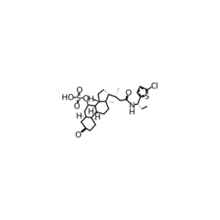 CC[C@H](NC(=O)C[C@@H](C)[C@H]1CC[C@H]2[C@@H]3[C@H](OS(=O)(=O)O)C[C@@H]4CC(=O)CC[C@]4(C)[C@H]3CC[C@]12C)c1ccc(Cl)s1